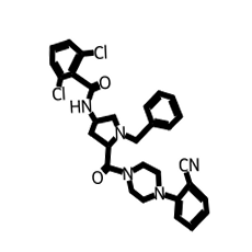 N#Cc1ccccc1N1CCN(C(=O)C2CC(NC(=O)c3c(Cl)cccc3Cl)CN2Cc2ccccc2)CC1